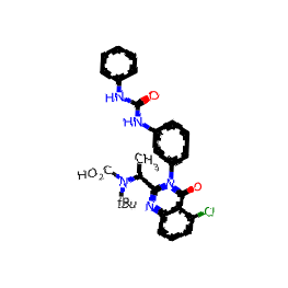 CC(c1nc2cccc(Cl)c2c(=O)n1-c1cccc(NC(=O)Nc2ccccc2)c1)N(C(=O)O)C(C)(C)C